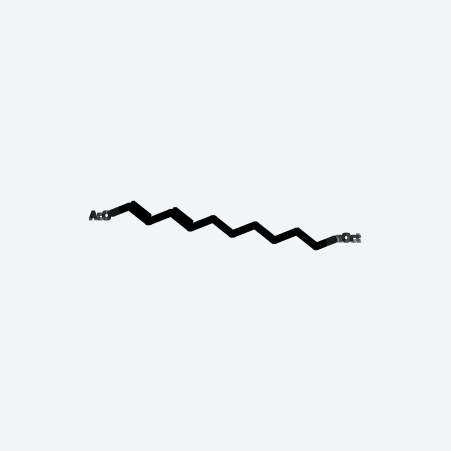 CCCCCCCCCCCCCCC=CC=COC(C)=O